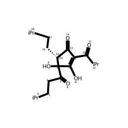 CC(C)CCC(=O)C1(O)C(O)=C(C(=O)C(C)C)C(=O)[C@H]1CCC(C)C